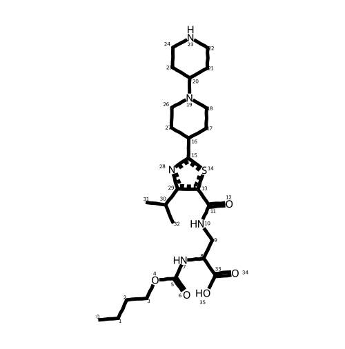 CCCCOC(=O)NC(CNC(=O)c1sc(C2CCN(C3CCNCC3)CC2)nc1C(C)C)C(=O)O